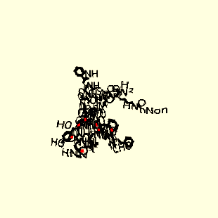 CCCCCCCCCC(=O)NCCCC[C@H](NC(=O)[C@H](CSCC(=O)N[C@@H](Cc1c[nH]c2ccccc12)C(=O)N[C@H](C(=O)N(C)CC(=O)N[C@H](C)CC(=O)O)[C@@H](C)O)NC(=O)[C@H](C)NC(=O)[C@@H]1C[C@@H](O)CN1C(=O)[C@@H](NC(=O)[C@@H](NC(=O)[C@H](Cc1ccc(O)cc1)NC(=O)[C@H](Cc1cnc[nH]1)NC(=O)[C@H](C)N(C)C(=O)[C@H](C)NC(=O)[C@H](Cc1ccccc1)N(C)C(=O)[C@H](CCc1ccccc1)N(C)C=O)[C@@H](C)O)C(C)C)C(N)=O